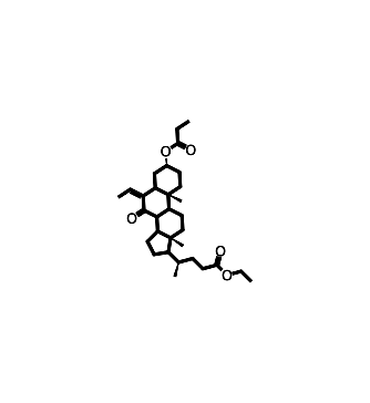 C/C=C1\C(=O)C2C(CC[C@@]3(C)C2CCC3[C@H](C)CCC(=O)OCC)[C@@]2(C)CC[C@@H](OC(=O)CC)CC12